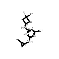 CC1CC1Nc1nc(Cl)nc(NC2CC(F)(F)C2)n1